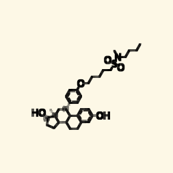 CCCCN(C)S(=O)(=O)CCCCCOc1ccc([C@H]2C[C@@]3(C)C(CC[C@@H]3O)C3CCc4cc(O)ccc4C32)cc1